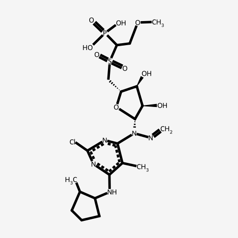 C=NN(c1nc(Cl)nc(NC2CCCC2C)c1C)[C@@H]1O[C@H](CS(=O)(=O)C(COC)P(=O)(O)O)[C@@H](O)[C@H]1O